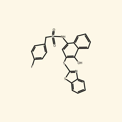 O=S(=O)(Cc1ccc(F)cc1)Nc1cc(Sc2nc3ccccc3s2)c(O)c2ccccc12